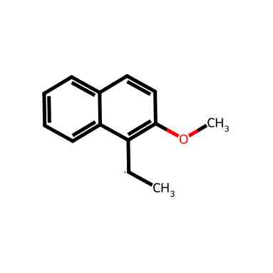 C[CH]c1c(OC)ccc2ccccc12